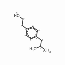 CC(C)Cc1ccc(CCO)cc1